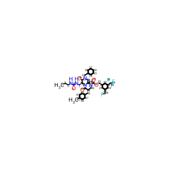 CCCNC(=O)NC[C@H]1C(=O)N(Cc2ccccc2)C[C@@H]2N(C(=O)OCc3cc(CF)cc(C(F)(F)F)c3)C[C@H](Cc3ccc(C)cc3)C(=O)N21